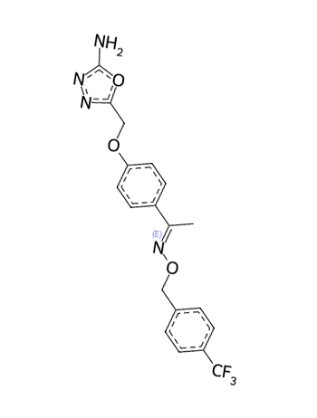 C/C(=N\OCc1ccc(C(F)(F)F)cc1)c1ccc(OCc2nnc(N)o2)cc1